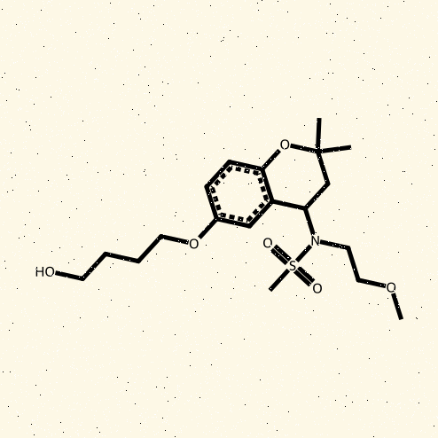 COCCN(C1CC(C)(C)Oc2ccc(OCCCCO)cc21)S(C)(=O)=O